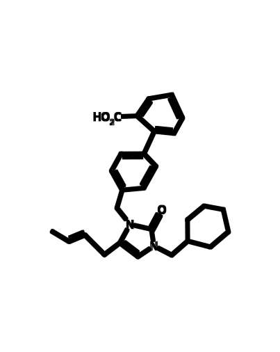 CC=CCc1cn(CC2CCCCC2)c(=O)n1Cc1ccc(-c2ccccc2C(=O)O)cc1